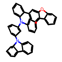 c1ccc(N(c2cccc(-n3c4ccccc4c4ccccc43)c2)c2ccccc2-c2ccc3c(c2)oc2ccccc23)cc1